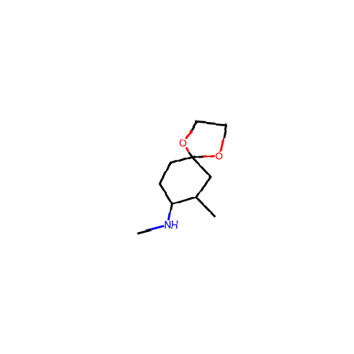 CNC1CCC2(CC1C)OCCO2